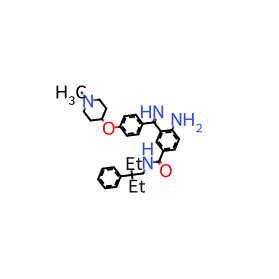 CCC(CC)(CNC(=O)c1ccc(N)c(C(=N)c2ccc(OC3CCN(C)CC3)cc2)c1)c1ccccc1